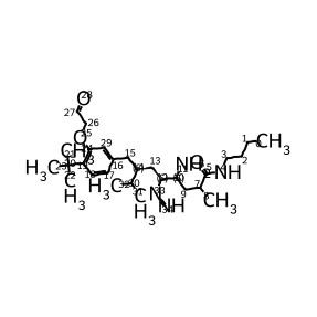 CCCCNC(=O)C(C)C[C@H](N)[C@H](C[C@H](Cc1ccc(C(C)(C)C)c(OCC=O)c1)C(C)C)N=N